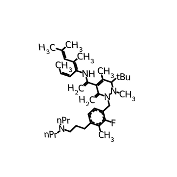 C=C(NC(/C=C\C)=C(\C)C=C(C)C)C1=C(C)C(C(C)(C)C)N(C)N(Cc2ccc(CCCN(CCC)CCC)c(C)c2F)C1=C